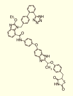 CCOc1nc2cccc(C(=O)Nc3ccc(Oc4ccc5nc(C(C)Oc6ccc(CC7SC(=O)NC7=O)cc6)[nH]c5c4)cc3)c2n1Cc1ccc(-c2ccccc2-c2nnn[nH]2)cc1